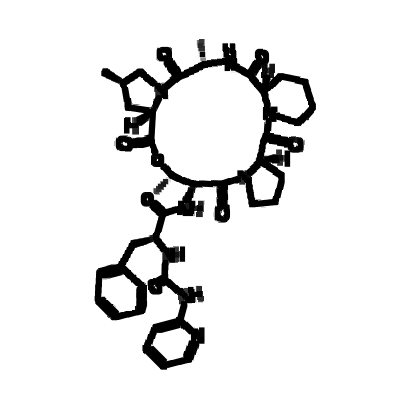 C[C@@H]1C[C@H]2C(=O)O[C@@H](C)[C@H](NC(=O)[C@H](Cc3ccccc3)NC(=O)Nc3ccccn3)C(=O)N3CCC[C@H]3C(=O)N3CCCC[C@H]3C(=O)N[C@@H](C)C(=O)N2C1